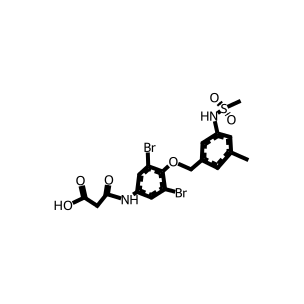 Cc1cc(COc2c(Br)cc(NC(=O)CC(=O)O)cc2Br)cc(NS(C)(=O)=O)c1